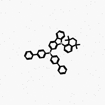 CC1(C)CCC(C)(C)c2c(-n3c4ccccc4c4ccc(N(c5ccc(-c6ccccc6)cc5)c5ccc(-c6ccccc6)cc5)cc43)cccc21